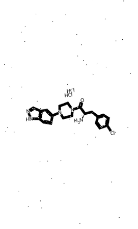 Cl.Cl.N[C@@H](Cc1ccc(Cl)cc1)C(=O)N1CCN(c2ccc3[nH]ncc3c2)CC1